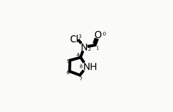 O=CN(Cl)C1CCCN1